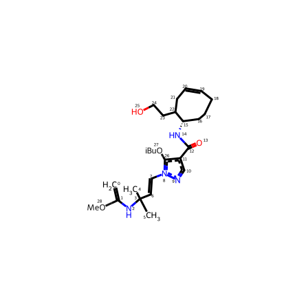 C=C(NC(C)(C)/C=C/n1ncc(C(=O)N[C@H]2CCC/C=C\CC2CCO)c1OCC(C)C)OC